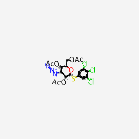 CC(=O)OC[C@H]1O[C@H](Sc2cc(Cl)c(Cl)c(Cl)c2)[C@H](OC(C)=O)[C@@H](N=[N+]=[N-])[C@H]1OC(C)=O